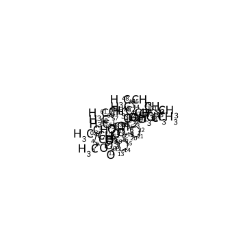 CC(C)(C)CC(C)(C)OOC(=O)c1cccc(C(=O)c2cccc(C(=O)OOC(C)(C)CC(C)(C)C)c2C(=O)OOC(C)(C)CC(C)(C)C)c1C(=O)OOC(C)(C)CC(C)(C)C